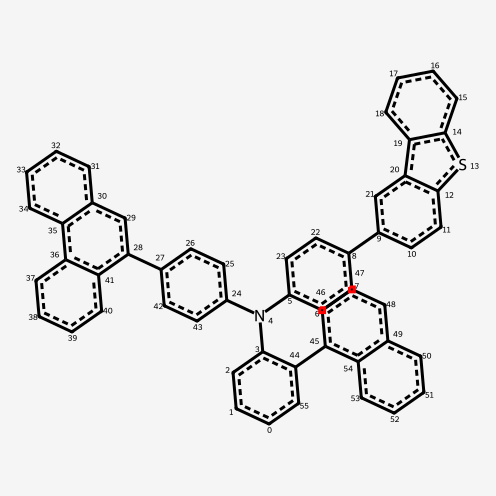 c1ccc(N(c2ccc(-c3ccc4sc5ccccc5c4c3)cc2)c2ccc(-c3cc4ccccc4c4ccccc34)cc2)c(-c2cccc3ccccc23)c1